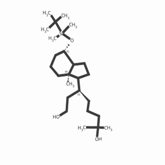 CC(C)(O)CCC[C@@H](CCO)C1CCC2[C@@H](O[Si](C)(C)C(C)(C)C)CCC[C@]12C